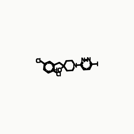 OC1(Cc2cc(Cl)ccc2Cl)CCN(c2ccc(I)nn2)CC1